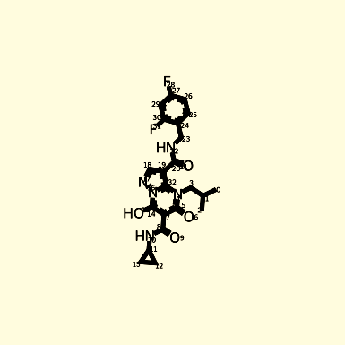 CC(C)Cn1c(=O)c(C(=O)NC2CC2)c(O)n2ncc(C(=O)NCc3ccc(F)cc3F)c12